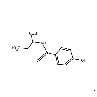 O=C(O)CC(NC(=O)c1ccc(O)cc1)C(=O)O